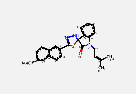 COc1ccc2cc(C3=NNC4(S3)C(=O)N(CC=C(C)C)c3ccccc34)ccc2c1